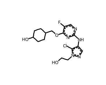 OCCn1ncc(Nc2ncc(F)c(OCC3CCC(O)CC3)n2)c1Cl